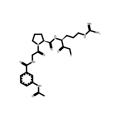 CC(=O)Nc1cccc(C(=O)NCC(=O)N2CCC[C@H]2C(=O)N[C@@H](CCCNC(=N)N)C(=O)CF)c1